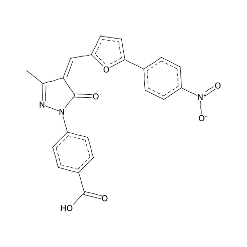 CC1=NN(c2ccc(C(=O)O)cc2)C(=O)/C1=C\c1ccc(-c2ccc([N+](=O)[O-])cc2)o1